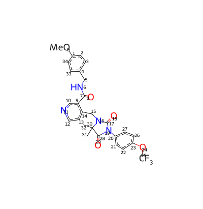 COc1ccc(CNC(=O)c2cnccc2CN2C(=O)N(c3ccc(OC(F)(F)F)cc3)C(=O)C2(C)C)cc1